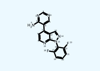 Nc1ncncc1-c1ccnc2c1cnn2-c1c(F)cccc1F